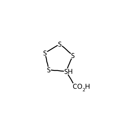 O=C(O)[SH]1SSSS1